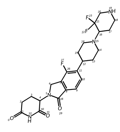 O=C1CCC(N2Cc3c(ccc(C4CCN(C5CCNCC5(F)F)CC4)c3F)C2=O)C(=O)N1